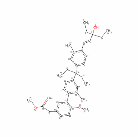 CCC(O)(/C=C/c1ccc(C(CC)(CC)c2ccc(-c3cc(CC(=O)OC)ccc3OC)c(C)c2)cc1C)CC